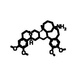 CC[C@H]1CN2CCc3cc(OC)c(OC)cc3[C@@H]2C[C@@H]1C[C@@H]1c2cc(OC)c(OC)cc2CCC2(N)CCCCC1C2